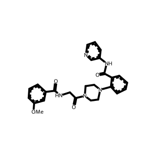 COc1cccc(C(=O)NCC(=O)N2CCN(c3ccccc3C(=O)Nc3cccnc3)CC2)c1